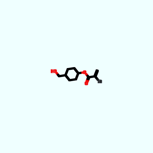 C=C(CC)C(=O)OC1CCC(CO)CC1